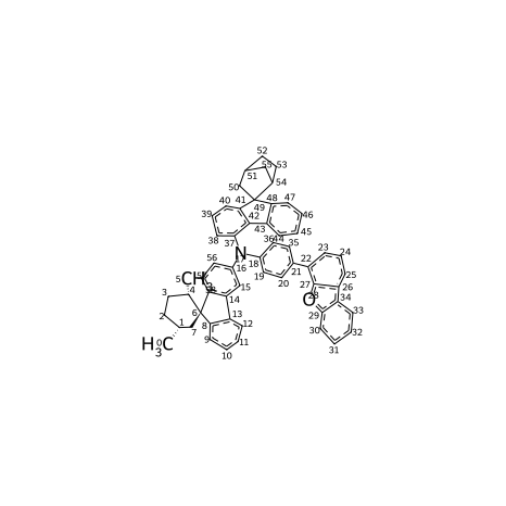 C[C@@H]1CC[C@H](C)[C@@]2(C1)c1ccccc1-c1cc(N(c3ccc(-c4cccc5c4oc4ccccc45)cc3)c3cccc4c3-c3ccccc3C43CC4CCC3C4)ccc12